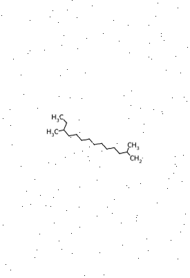 [CH2]C(C)CCCCCCCCCC(C)CC